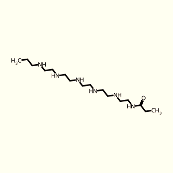 CCCNCCNCCNCCNCCNCCNC(=O)CC